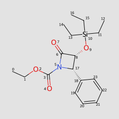 CCOC(=O)N1C(=O)[C@H](O[Si](CC)(CC)CC)[C@@H]1c1ccccc1